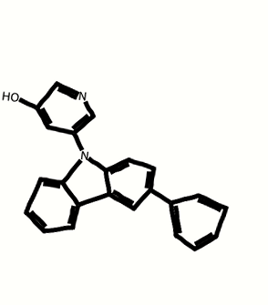 Oc1cncc(-n2c3ccccc3c3cc(-c4ccccc4)ccc32)c1